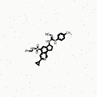 Cc1ccc(N/C(=N/C#N)NC2CCc3c2cc(S(=O)(=O)NCC(C)C)c2cc(C4CC4)ncc32)cc1